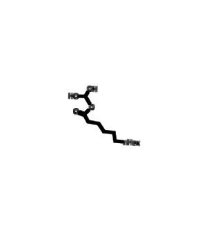 CCCCCCCCCCCC(=O)OC(O)O